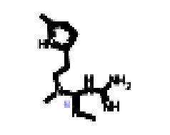 C/N=C(\NC(=N)N)N(C)CCc1ccc(C)[nH]1